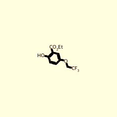 CCOC(=O)c1cc(OCC(F)(F)F)ccc1O